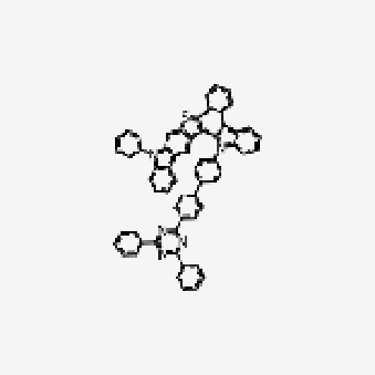 c1ccc(-c2nc(-c3ccccc3)nc(-c3ccc(-c4ccc(-n5c6ccccc6c6c7ccccc7c7sc8cc9c(cc8c7c65)c5ccccc5n9-c5ccccc5)cc4)cc3)n2)cc1